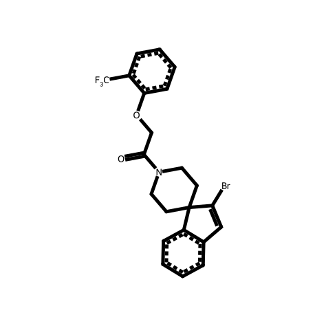 O=C(COc1ccccc1C(F)(F)F)N1CCC2(CC1)C(Br)=Cc1ccccc12